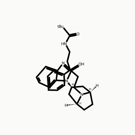 Cc1nc2ccccc2n1[C@H]1C[C@H]2CC[C@@H](C1)N2CCC(O)(CCNC(=O)C(C)(C)C)c1ccccc1